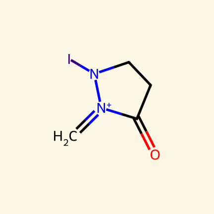 C=[N+]1C(=O)CCN1I